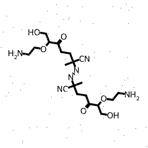 CC(C#N)(CCC(=O)C(CO)OCCN)N=NC(C)(C#N)CCC(=O)C(CO)OCCN